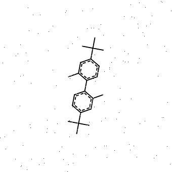 Cc1cc(C(C)(C)C)ccc1-c1ccc(C(C)(C)C)cc1C